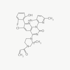 C=CC(=O)N1CCN(c2nc(=O)n(-c3nc(C)ccc3CCC)c3nc(-c4c(O)cccc4F)c(Cl)cc23)[C@@H](C)C1